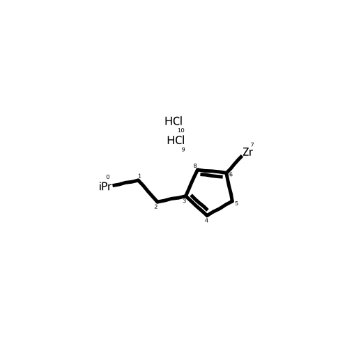 CC(C)CCC1=CC[C]([Zr])=C1.Cl.Cl